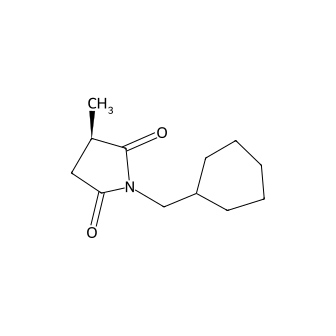 C[C@@H]1CC(=O)N(CC2CCCCC2)C1=O